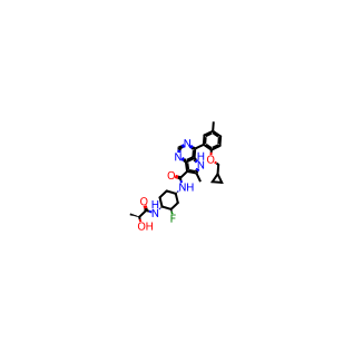 Cc1ccc(OCC2CC2)c(-c2ncnc3c(C(=O)N[C@H]4CC[C@@H](NC(=O)[C@H](C)O)[C@H](F)C4)c(C)[nH]c23)c1